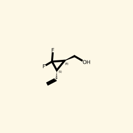 C=C[C@H]1[C@H](CO)C1(F)F